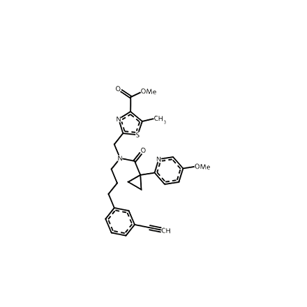 C#Cc1cccc(CCCN(Cc2nc(C(=O)OC)c(C)s2)C(=O)C2(c3ccc(OC)cn3)CC2)c1